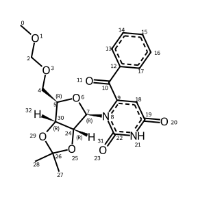 COCOC[C@H]1O[C@@H](n2c(C(=O)c3ccccc3)cc(=O)[nH]c2=O)[C@@H]2OC(C)(C)O[C@@H]21